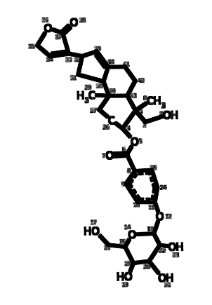 CC1(CO)C(OC(=O)c2ccc(OC3OC(CO)C(O)C(O)C3O)cc2)CCC2(C)C3CC(C4=CCOC4=O)C=C3CCC12